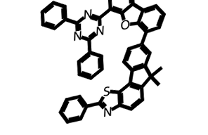 CC1(C)c2cc(-c3cccc4c3oc3c(-c5nc(-c6ccccc6)nc(-c6ccccc6)n5)cccc34)ccc2-c2c1ccc1nc(-c3ccccc3)sc21